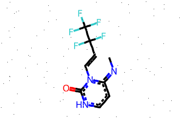 C/N=c1/cc[nH]c(=O)n1/C=C/C(F)(F)C(F)(F)F